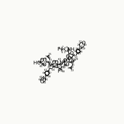 CN[C@@H](CCC(C)(C)F)C(=O)O[C@H](Cc1ccc(N2CCOCC2)cc1)C(=O)N(C)[C@@H](CC1CC1)C(=O)O[C@H](C)C(=O)N(C)[C@@H](CC(C)(C)F)C(=O)O[C@H](CCc1ccc(N2CCOCC2)cc1)C(=O)N(C)[C@@H](CC1CC1)C(=O)O[C@H](C)C(=O)O